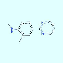 CNc1ccc(-c2ncccn2)cc1C